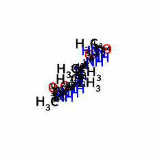 Cc1cc(=O)nc(NC(=O)NCCC[N+](C)(C)CC[N+](C)(C)CCNC(=O)Nc2nc(=O)cc(C)[nH]2)[nH]1